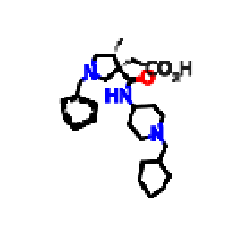 C[C@H]1CN(Cc2ccccc2)C[C@]1(CC(=O)O)C(=O)NC1CCN(CC2CCCCC2)CC1